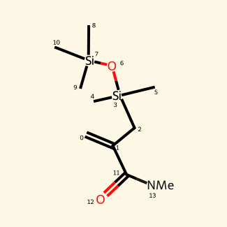 C=C(C[Si](C)(C)O[Si](C)(C)C)C(=O)NC